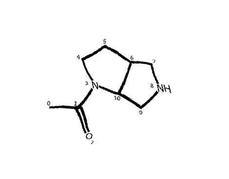 CC(=O)N1CCC2CNCC21